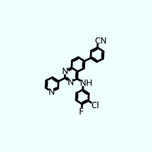 N#Cc1cccc(-c2ccc3nc(-c4cccnc4)nc(Nc4ccc(F)c(Cl)c4)c3c2)c1